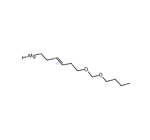 CCCCOCOCC/C=C/C[CH2][Mg][I]